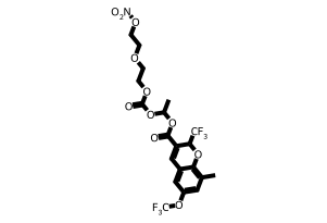 Cc1cc(OC(F)(F)F)cc2c1OC(C(F)(F)F)C(C(=O)OC(C)OC(=O)OCCOCCO[N+](=O)[O-])=C2